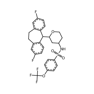 O=S(=O)(NC1CCOC(C2c3ccc(F)cc3CCc3cc(F)ccc32)C1)c1ccc(OC(F)(F)F)cc1